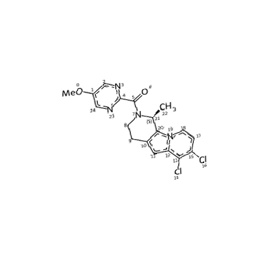 COc1cnc(C(=O)N2CCc3cc4c(Cl)c(Cl)ccn4c3[C@@H]2C)nc1